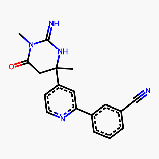 CN1C(=N)NC(C)(c2ccnc(-c3cccc(C#N)c3)c2)CC1=O